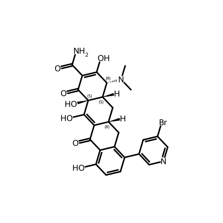 CN(C)[C@H]1C(O)=C(C(N)=O)C(=O)[C@@]2(O)C(O)=C3C(=O)c4c(O)ccc(-c5cncc(Br)c5)c4C[C@H]3C[C@@H]12